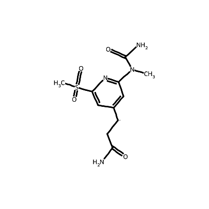 CN(C(N)=O)c1cc([CH]CC(N)=O)cc(S(C)(=O)=O)n1